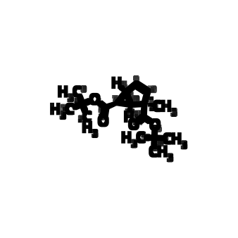 CC(C)(C)OC(=O)[C@H]1[C@@H]2C=C[C@@](C)(C(=O)OC(C)(C)C)[C@@H]21